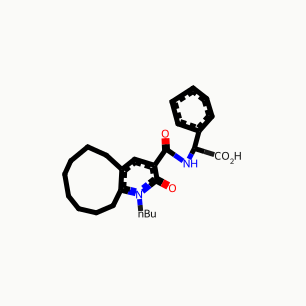 CCCCn1c2c(cc(C(=O)NC(C(=O)O)c3ccccc3)c1=O)CCCCCCCC2